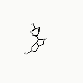 NC1CC2CNC(c3ccc(Cl)nn3)C2C1